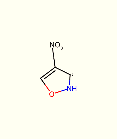 O=[N+]([O-])C1=CON[C]1